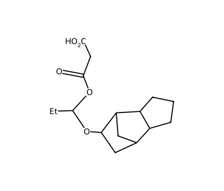 CCC(OC(=O)CC(=O)O)OC1CC2CC1C1CCCC21